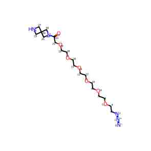 [N-]=[N+]=NCCOCCOCCOCCOCCOCCOCC(=O)N1CC2(CNC2)C1